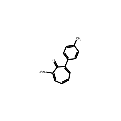 COc1ccccc(-c2ccc(C)cc2)c1=O